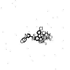 Cc1cc2nc(-c3ccnc(N4CCOCC4)c3)sc2c(-c2ccc(Cl)cc2)c1C(OC(C)(C)C)C(=O)O